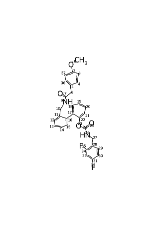 COc1ccc(CC(=O)NCc2ccccc2-c2ccccc2OC(=O)NCc2ccc(F)cc2F)cc1